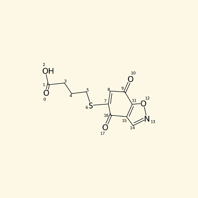 O=C(O)CCCSC1=CC(=O)c2oncc2C1=O